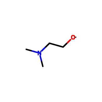 CN(C)CC[O]